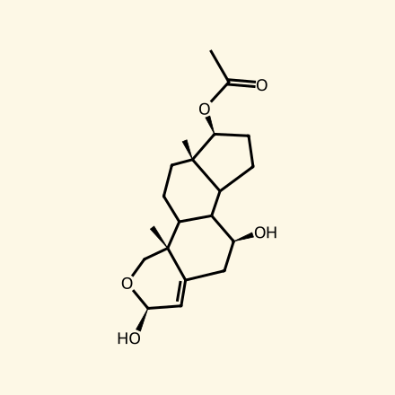 CC(=O)O[C@H]1CCC2C3C(CC[C@@]21C)[C@@]1(C)CO[C@H](O)C=C1C[C@@H]3O